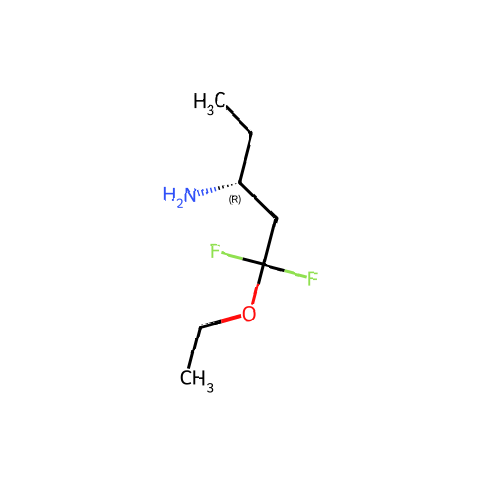 CCOC(F)(F)C[C@H](N)CC